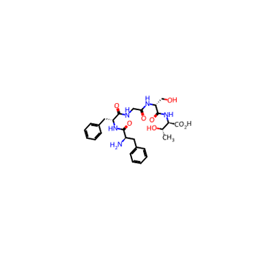 C[C@H](O)[C@@H](NC(=O)[C@@H](CO)NC(=O)CNC(=O)[C@@H](Cc1ccccc1)NC(=O)[C@H](N)Cc1ccccc1)C(=O)O